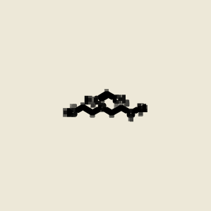 C=CC.CCOCCOCCO